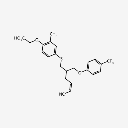 Cc1cc(SCC(C/C=C\C#N)COc2ccc(C(F)(F)F)cc2)ccc1OCC(=O)O